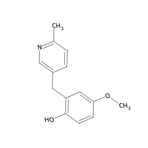 COc1ccc(O)c(Cc2ccc(C)nc2)c1